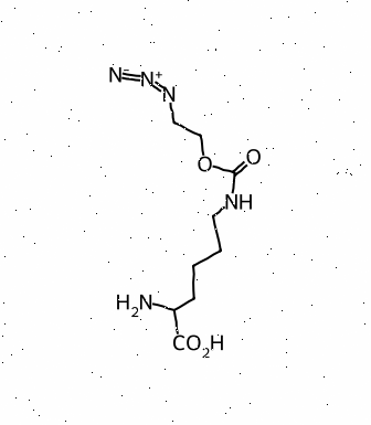 [N-]=[N+]=NCCOC(=O)NCCCCC(N)C(=O)O